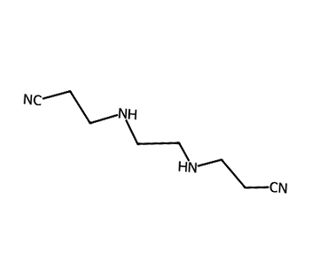 N#CCCNCCNCCC#N